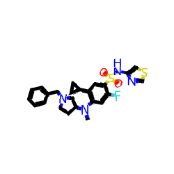 CN(c1cc(F)c(S(=O)(=O)Nc2cscn2)cc1C1CC1)C1CCN(Cc2ccccc2)C1